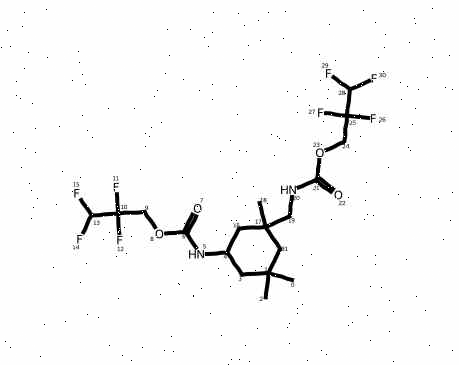 CC1(C)CC(NC(=O)OCC(F)(F)C(F)F)CC(C)(CNC(=O)OCC(F)(F)C(F)F)C1